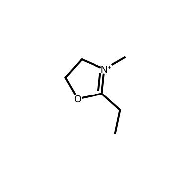 CCC1=[N+](C)CCO1